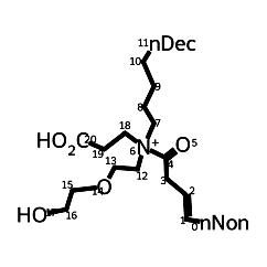 CCCCCCCCCC=CCC(=O)[N+](CCCCCCCCCCCCCC)(CCOCCO)CCC(=O)O